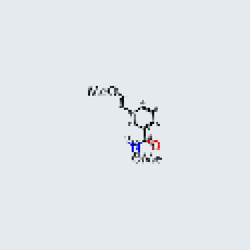 COC=Cc1cccc(C(=O)N(C)OC)c1